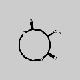 CC1CC(=O)OCCCCOC(=O)C1